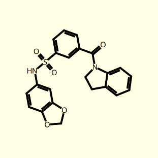 O=C(c1cccc(S(=O)(=O)Nc2ccc3c(c2)OCO3)c1)N1CCc2ccccc21